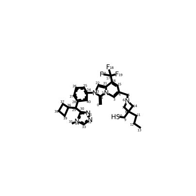 C=C1N2C=C(CN3CC(CS)(CCC)C3)C=C(C(F)(F)F)C2=CN1c1cccc(C(c2nncn2C)C2CCC2)c1